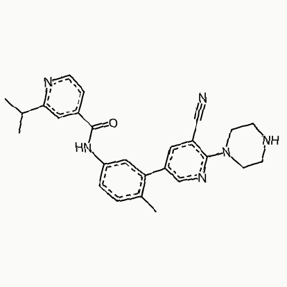 Cc1ccc(NC(=O)c2ccnc(C(C)C)c2)cc1-c1cnc(N2CCNCC2)c(C#N)c1